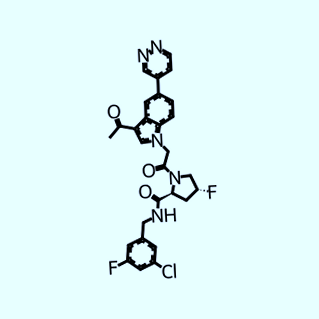 CC(=O)c1cn(CC(=O)N2C[C@H](F)C[C@H]2C(=O)NCc2cc(F)cc(Cl)c2)c2ccc(-c3ccnnc3)cc12